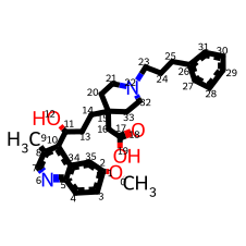 COc1ccc2ncc(C)c(C(O)CCC3(CC(=O)O)CCN(CCCc4ccccc4)CC3)c2c1